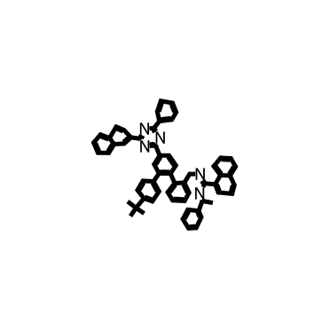 C/C(=N\C(=N/Cc1ccccc1-c1ccc(-c2nc(-c3ccccc3)nc(-c3ccc4ccccc4c3)n2)cc1-c1ccc(C(C)(C)C)cc1)c1cccc2ccccc12)c1ccccc1